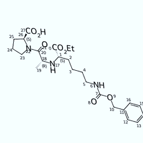 CCOC(=O)[C@H](CCCCNC(=O)OCc1ccccc1)N[C@H](C)C(=O)N1CCC[C@H]1C(=O)O